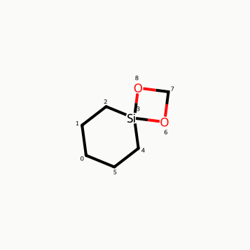 C1CC[Si]2(CC1)OCO2